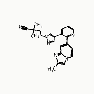 Cc1cn2ccc(-c3ncccc3-c3cnn(CCC(C)(C)C#N)c3)cc2n1